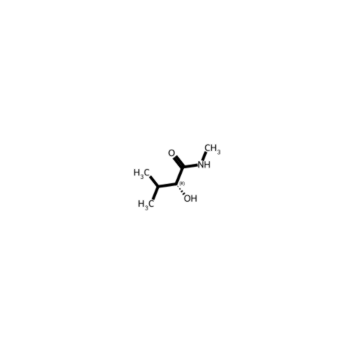 CNC(=O)[C@H](O)C(C)C